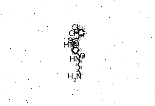 NCCCCCNC(=O)c1ccc(NS(=O)(=O)CCc2cccc(Cl)c2Cl)cc1